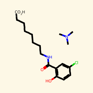 CN(C)C.O=C(O)CCCCCCCNC(=O)c1cc(Cl)ccc1O